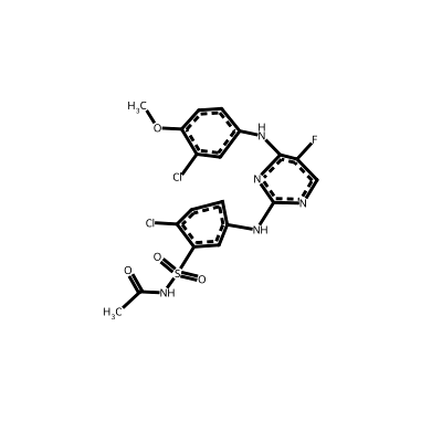 COc1ccc(Nc2nc(Nc3ccc(Cl)c(S(=O)(=O)NC(C)=O)c3)ncc2F)cc1Cl